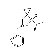 O=S(=O)(C(F)F)C1(COCc2ccccc2)CC1